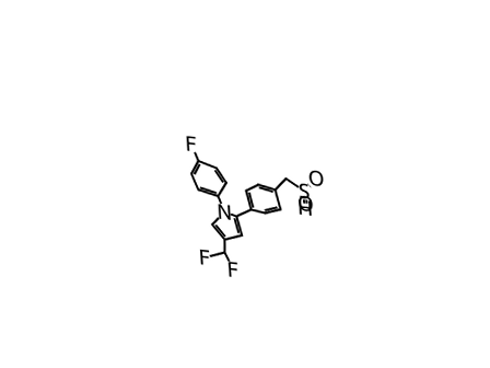 O=[SH](=O)Cc1ccc(-c2cc(C(F)F)cn2-c2ccc(F)cc2)cc1